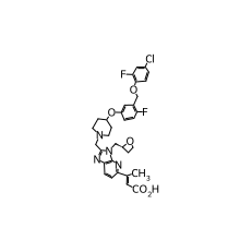 C/C(=C\C(=O)O)c1ccc2nc(CN3CCC(Oc4ccc(F)c(COc5ccc(Cl)cc5F)c4)CC3)n(C[C@@H]3CCO3)c2n1